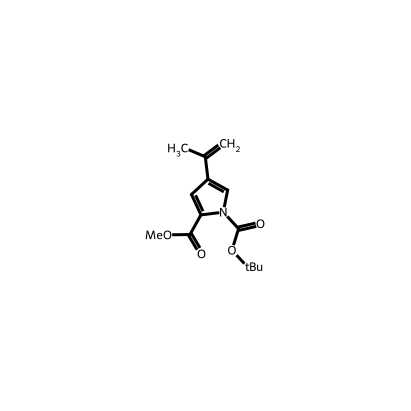 C=C(C)c1cc(C(=O)OC)n(C(=O)OC(C)(C)C)c1